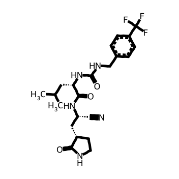 CC(C)C[C@H](NC(=O)NCc1ccc(C(F)(F)F)cc1)C(=O)N[C@H](C#N)C[C@@H]1CCNC1=O